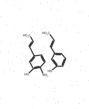 O=C(O)C=Cc1ccc([N+](=O)[O-])c(O)c1.O=C(O)C=Cc1cccc(O)c1